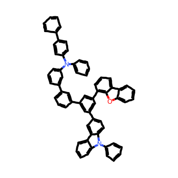 c1ccc(-c2ccc(N(c3ccccc3)c3cccc(-c4cccc(-c5cc(-c6ccc7c(c6)c6ccccc6n7-c6ccccc6)cc(-c6cccc7c6oc6ccccc67)c5)c4)c3)cc2)cc1